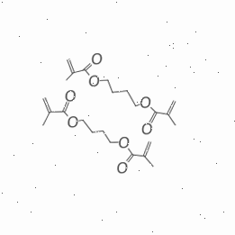 C=C(C)C(=O)OCCCCOC(=O)C(=C)C.C=C(C)C(=O)OCCCCOC(=O)C(=C)C